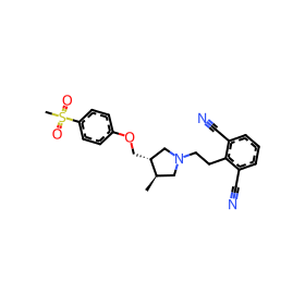 C[C@@H]1CN(CCc2c(C#N)cccc2C#N)C[C@H]1COc1ccc(S(C)(=O)=O)cc1